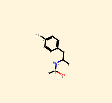 CB(O)NC(C)Cc1ccc(C(C)(C)C)cc1